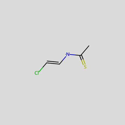 CC(=S)[N]C=CCl